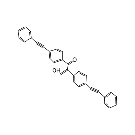 C=C(C(=O)c1ccc(C#Cc2ccccc2)cc1O)c1ccc(C#Cc2ccccc2)cc1